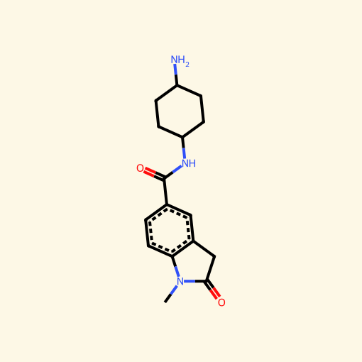 CN1C(=O)Cc2cc(C(=O)NC3CCC(N)CC3)ccc21